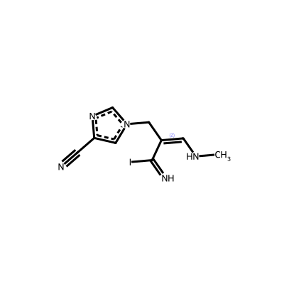 CN/C=C(/Cn1cnc(C#N)c1)C(=N)I